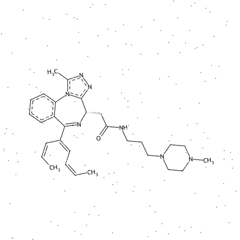 C\C=C/C=C(\C=C/C)C1=N[C@@H](CC(=O)NCCCN2CCN(C)CC2)c2nnc(C)n2-c2ccccc21